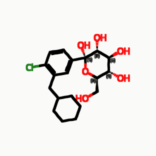 OC[C@H]1O[C@@](O)(c2ccc(Cl)c(CC3CCCCC3)c2)[C@H](O)[C@@H](O)[C@@H]1O